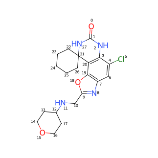 O=C1Nc2c(Cl)cc3nc(CNC4CCOCC4)oc3c2C2(CCCCC2)N1